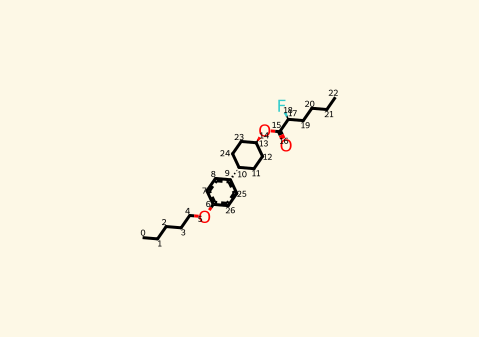 CCCCCOc1ccc([C@H]2CC[C@H](OC(=O)[C@@H](F)CCCC)CC2)cc1